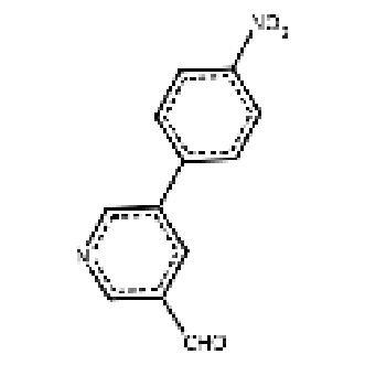 O=Cc1cncc(-c2ccc([N+](=O)[O-])cc2)c1